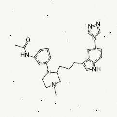 CC(=O)Nc1cccc(N2CCN(C)CC2CCCc2c[nH]c3ccc(-n4cnnc4)cc23)c1